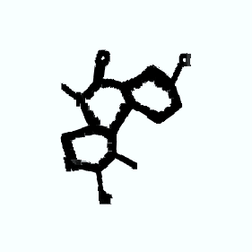 Cc1c(Br)ncc2c1c1ccc(Cl)cc1c(=O)n2C